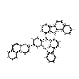 c1ccc2c(c1)ccc1cc(-c3ccc(N(c4cccc5c4oc4ccccc45)c4cccc5c4oc4c6ccccc6ccc54)cc3)ccc12